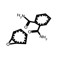 NC(=O)c1ccccc1C(N)=O.c1ccc2c(c1)O2